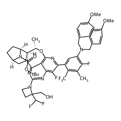 COc1ccc(CN(Cc2ccc(OC)cc2)c2cc(-c3nc4c5c(nc(N6CCC6(CO)C(F)F)nc5c3F)N3C[C@H]5CC[C@@H]([C@H]3[C@H](C)O4)N5C(=O)OC(C)(C)C)c(C(F)(F)F)c(C)c2F)cc1